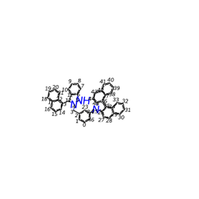 c1cc(CN2Nc3ccccc3C2c2cccc3ccccc23)cc(-n2c3ccc4ccccc4c3c3c4ccccc4ccc32)c1